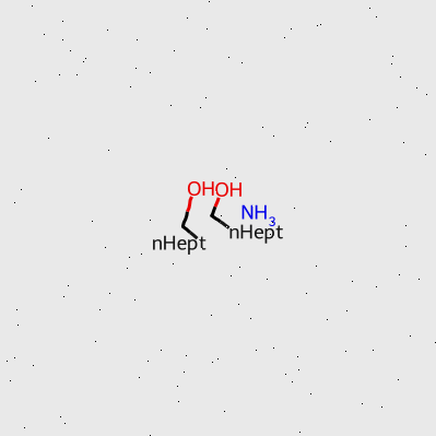 CCCCCCCCO.CCCCCCCCO.N